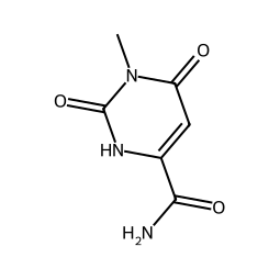 Cn1c(=O)cc(C(N)=O)[nH]c1=O